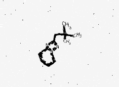 CC(C)(C)Cc1nc2ccccn2n1